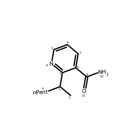 CCCCCC(C)c1ncccc1C(N)=O